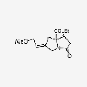 CCOC(=O)[C@@]12CCC(=O)N1CC(=CCOC)C2